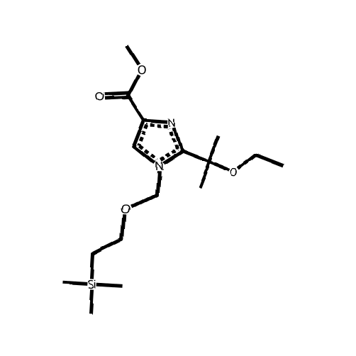 CCOC(C)(C)c1nc(C(=O)OC)cn1COCC[Si](C)(C)C